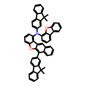 CC1(C)c2ccccc2-c2ccc(-c3c4ccccc4cc4c3oc3cccc(N(c5ccc6c(c5)C(C)(C)c5ccccc5-6)c5cccc6c5oc5ccccc56)c34)cc21